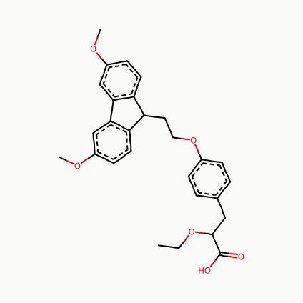 CCOC(Cc1ccc(OCCC2c3ccc(OC)cc3-c3cc(OC)ccc32)cc1)C(=O)O